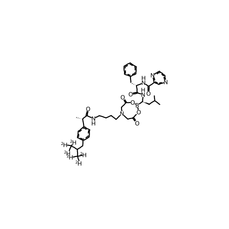 [2H]C([2H])([2H])C(Cc1ccc([C@H](C)C(=O)NCCCCN2CC(=O)OB([C@H](CC(C)C)NC(=O)[C@H](Cc3ccccc3)NC(=O)c3cnccn3)OC(=O)C2)cc1)C([2H])([2H])[2H]